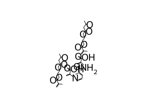 C=C(C)C(=O)O.C=C(C)C(=O)O.C=C(C)C(=O)OCCOC(=O)CC(C)=O.C=C(C)C(=O)OCCOC(=O)CC(C)=O.NC(=O)c1cccnc1